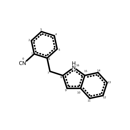 [C-]#[N+]c1ccccc1Cc1cc2ccccc2[nH]1